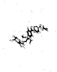 CCn1c(CNC(=O)c2nc(Cl)c(N)nc2N)[n+](CC)c2cc(C(=O)NC3CCN(C(=O)OC(C)(C)C)CC3)c(F)cc21